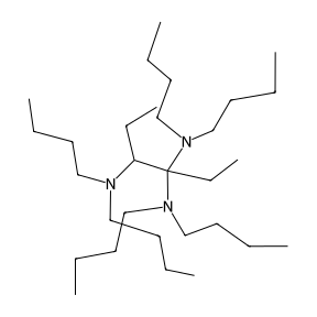 CCCCN(CCCC)C(CC)C(CC)(N(CCCC)CCCC)N(CCCC)CCCC